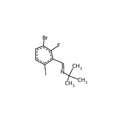 CC(C)(C)/N=C/c1c(I)ccc(Br)c1F